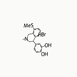 Br.CSc1cccc2c1CN(C)CC2c1ccc(O)c(O)c1